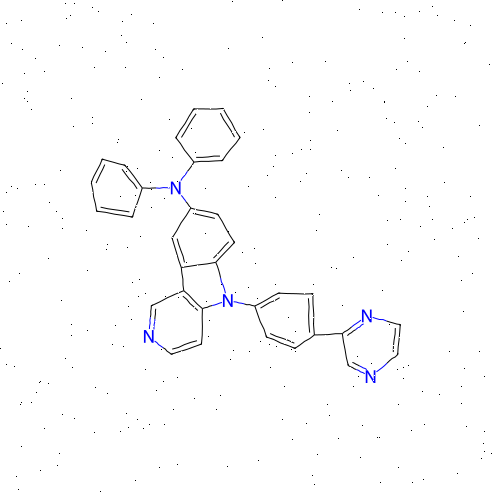 c1ccc(N(c2ccccc2)c2ccc3c(c2)c2cnccc2n3-c2ccc(-c3cnccn3)cc2)cc1